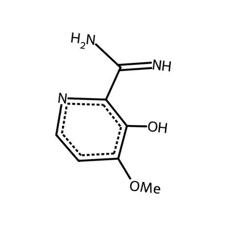 COc1ccnc(C(=N)N)c1O